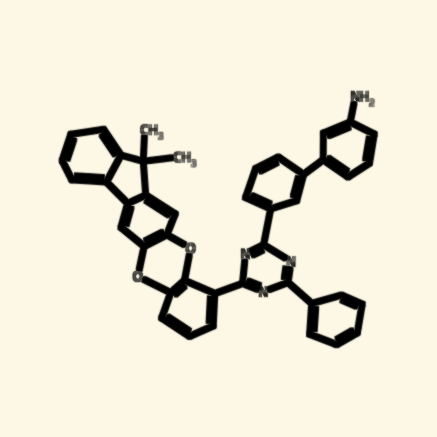 CC1(C)c2ccccc2-c2cc3c(cc21)Oc1c(cccc1-c1nc(-c2ccccc2)nc(-c2cccc(-c4cccc(N)c4)c2)n1)O3